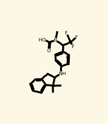 CN(C(=O)O)C(c1ccc(NC2Cc3ccccc3C2(C)C)cc1)C(F)(F)F